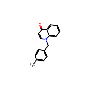 O=c1ccn(Cc2ccc(C(F)(F)F)cc2)c2ccccc12